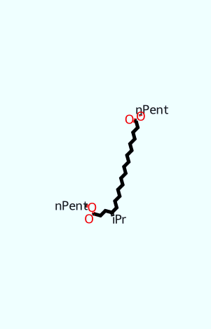 CCCCCOC(=O)CCCCCCCCCCCCCCCC(CCC(=O)OCCCCC)C(C)C